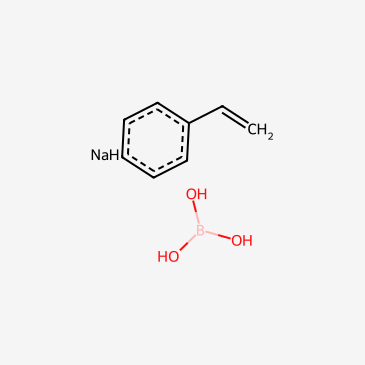 C=Cc1ccccc1.OB(O)O.[NaH]